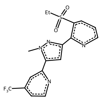 CCS(=O)(=O)c1cccnc1-c1cc(-c2cc(C(F)(F)F)ccn2)n(C)n1